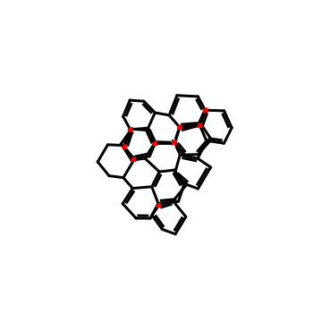 c1ccc(-c2ccc(-c3ccccc3)c(N(c3ccccc3-c3cccc4cccc(-c5ccccc5)c34)c3ccccc3-c3cccc4cccc(C5CCCCC5)c34)c2)cc1